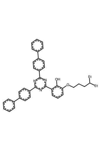 CCC(CC)CCCOc1cccc(-c2nc(-c3ccc(-c4ccccc4)cc3)nc(-c3ccc(-c4ccccc4)cc3)n2)c1O